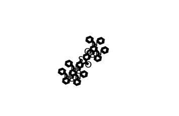 O=c1c2cc3c(cc2sc2cc4c(cc12)B1c2ccccc2N2c5ccccc5B5c6ccccc6N(c6ccccc6)c6cc(c1c2c65)N4c1ccccc1)Oc1cc(N(c2ccccc2)c2ccccc2)cc2c1B3c1ccccc1N2c1ccccc1